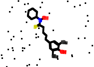 CC(C)(C)c1cc(CCCCC(=S)N(O)C2CCCCC2)cc(C(C)(C)C)c1O